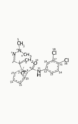 C=C(/C=N\N(C)C)c1c(C(=O)Nc2ccc(Cl)c(Cl)c2)c2ccc1o2